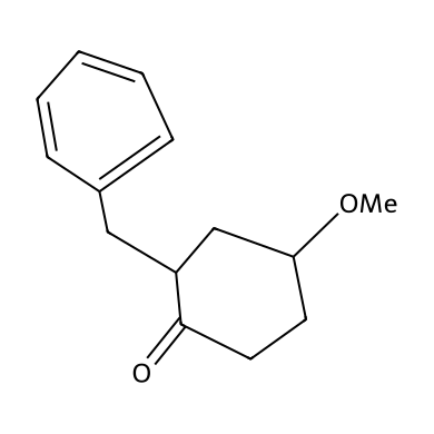 COC1CCC(=O)C(Cc2ccccc2)C1